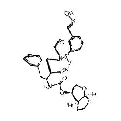 CC(C)CN(C[C@@H](O)[C@H](Cc1ccccc1)NC(=O)O[C@H]1CO[C@H]2OCC[C@H]21)[S+]([O-])c1cccc(/C=N/O)c1